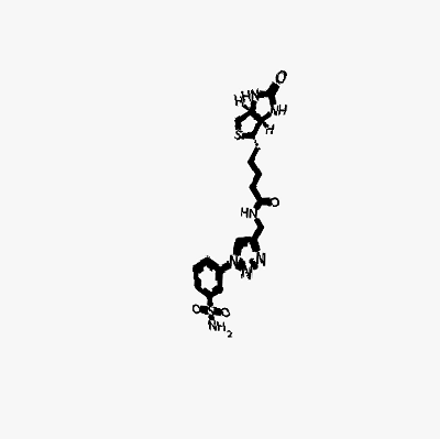 NS(=O)(=O)c1cccc(-n2cc(CNC(=O)CCCC[C@@H]3SC[C@@H]4NC(=O)N[C@@H]43)nn2)c1